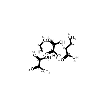 CC(=O)C(=O)O.CC(=O)C(=O)O.CC(C)CC(=O)O.CCCC(=O)O